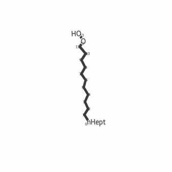 CCCCCCCCCCCCCCCCC[CH]OO